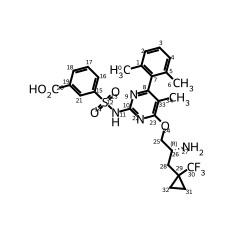 Cc1cccc(C)c1-c1nc(NS(=O)(=O)c2cccc(C(=O)O)c2)nc(OC[C@H](N)CC2(C(F)(F)F)CC2)c1C